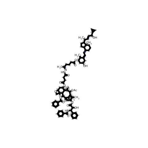 C=C1/C(=C\C=C2/CCC[C@@]3(C)C2CCC3[C@@H](C)/C=C/C(O)C2CC2)C[C@@H](O)C[C@@H]1OC(=O)CCC/C(C)=N/NC(=O)CCC(=O)OC1CC2OCC2(OC(C)=O)C2C(OC(=O)c3ccccc3)C3(O)CC(OC(=O)C(O)C(NC(=O)c4ccccc4)c4ccccc4)C(C)=C(C(OC(C)=O)C(=O)C12C)C3(C)C